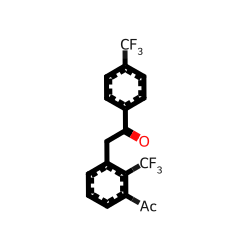 CC(=O)c1cccc(CC(=O)c2ccc(C(F)(F)F)cc2)c1C(F)(F)F